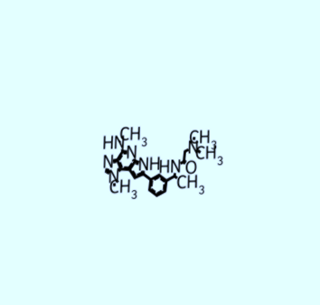 CNc1nc2[nH]c(-c3cccc(C(C)NC(=O)CN(C)C)c3)cc2c2c1ncn2C